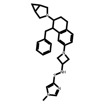 Cn1cnc(SNC2CN(c3ccc4c(c3)C(Cc3ccccc3)C(N3CC5CC5C3)CC4)C2)c1